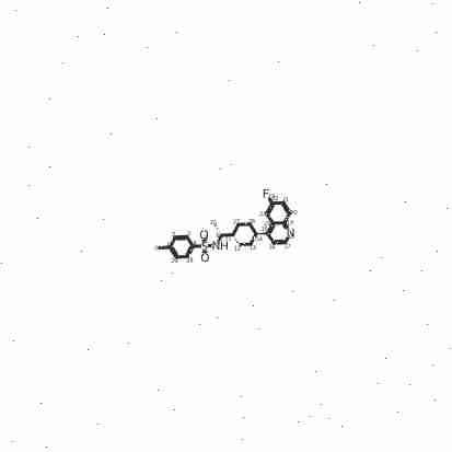 Cc1ccc(S(=O)(=O)N[C@H](C)[C@H]2CC[C@H](c3ccnc4ccc(F)cc43)CC2)cc1